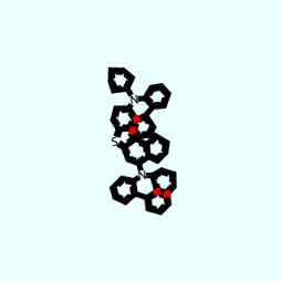 c1ccc(-c2ccccc2N(c2ccccc2)c2ccc3sc4cc(N(c5ccccc5)c5ccccc5-c5ccccc5)c5ccccc5c4c3c2)cc1